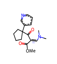 COC(=O)/C(=C/N(C)C)C(=O)C1(c2cccnc2)CCCC1